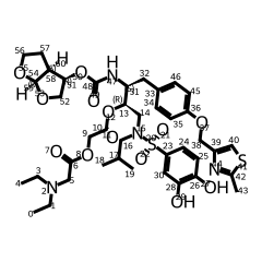 CCN(CC)CC(=O)OCC(=O)O[C@H](CN(CC(C)C)S(=O)(=O)c1ccc(O)c(O)c1)[C@H](Cc1ccc(OCc2csc(C)n2)cc1)NC(=O)O[C@H]1CO[C@H]2OCC[C@H]21